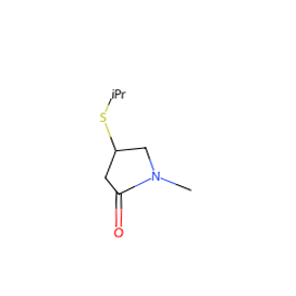 CC(C)SC1CC(=O)N(C)C1